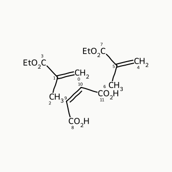 C=C(C)C(=O)OCC.C=C(C)C(=O)OCC.O=C(O)/C=C\C(=O)O